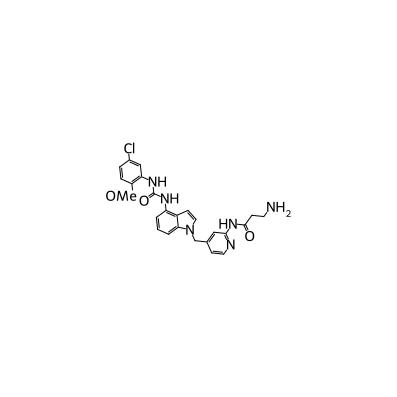 COc1ccc(Cl)cc1NC(=O)Nc1cccc2c1ccn2Cc1ccnc(NC(=O)CCN)c1